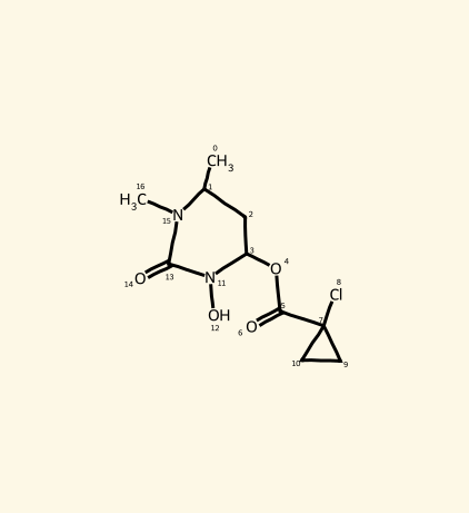 CC1CC(OC(=O)C2(Cl)CC2)N(O)C(=O)N1C